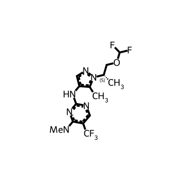 CNc1nc(Nc2cnn([C@@H](C)COC(F)F)c2C)ncc1C(F)(F)F